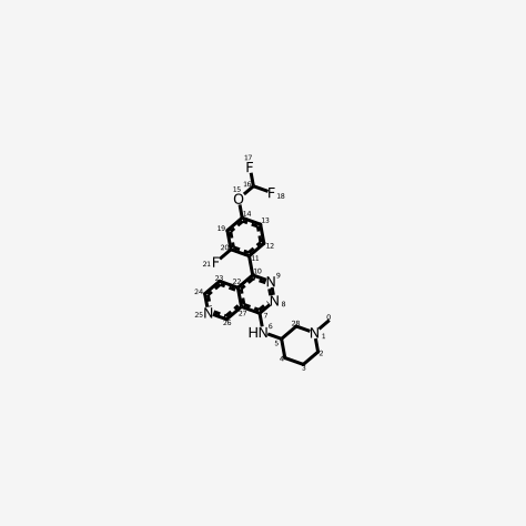 CN1CCCC(Nc2nnc(-c3ccc(OC(F)F)cc3F)c3ccncc23)C1